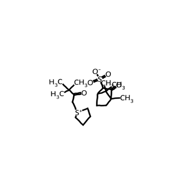 CC(C)(C)C(=O)C[S+]1CCCC1.CC12CCC(C(S(=O)(=O)[O-])C1=O)C2(C)C